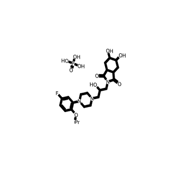 CC(C)Oc1ccc(F)cc1N1CCN(CC(O)CN2C(=O)C3CC(O)C(O)CC3C2=O)CC1.O=P(O)(O)O